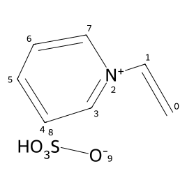 C=C[n+]1ccccc1.O=S(=O)([O-])O